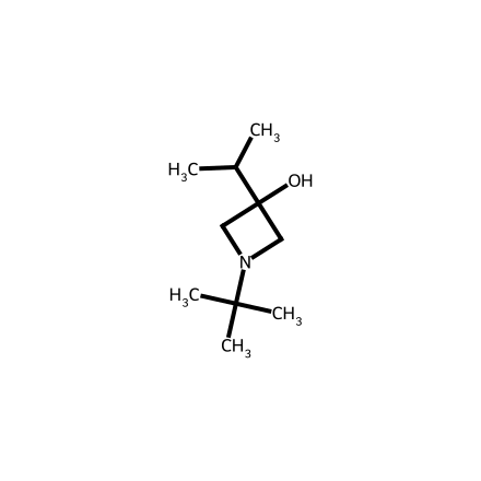 CC(C)C1(O)CN(C(C)(C)C)C1